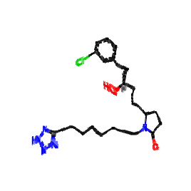 O=C1CCC(CC[C@@H](O)Cc2cccc(Cl)c2)N1CCCCCCc1nn[nH]n1